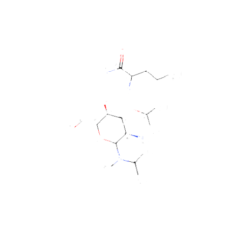 CC(=O)N(C(C)C(=O)O)C1O[C@H](CO)[C@@H](O)[C@H](OC(C)C(=O)O)[C@H]1N.NC(=O)C(N)CCC(=O)O